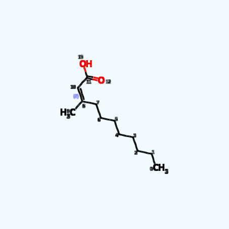 CCCCCCCC/C(C)=C\C(=O)O